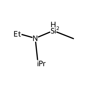 CCN([SiH2]C)C(C)C